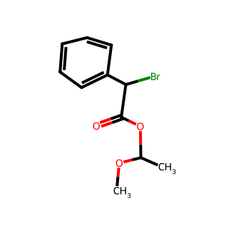 COC(C)OC(=O)C(Br)c1ccccc1